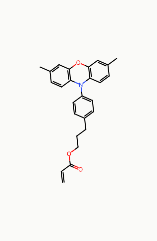 C=CC(=O)OCCCc1ccc(N2c3ccc(C)cc3Oc3cc(C)ccc32)cc1